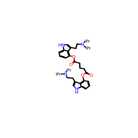 CC(C)N(CCc1c[nH]c2cccc(OC(=O)CCCC(=O)Oc3cccc4[nH]cc(CCN(C(C)C)C(C)C)c34)c12)C(C)C